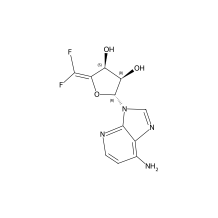 Nc1ccnc2c1ncn2[C@@H]1OC(=C(F)F)[C@@H](O)[C@H]1O